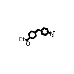 CCC(=O)C1CCC(=Cc2ccc(N(C)C)cc2)CC1